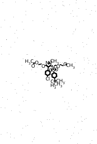 COCCOCN(c1c(-c2ccc(Cl)cc2)c(OCCOC(C)=O)nn1C)S(=O)(=O)c1ccc(C(C)(C)C)cc1